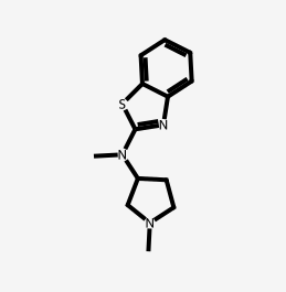 CN1CCC(N(C)c2nc3ccccc3s2)C1